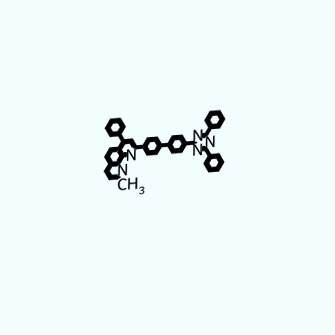 Cc1ccc2ccc3c(-c4ccccc4)cc(-c4ccc(-c5ccc(-c6nc(-c7ccccc7)nc(-c7ccccc7)n6)cc5)cc4)nc3c2n1